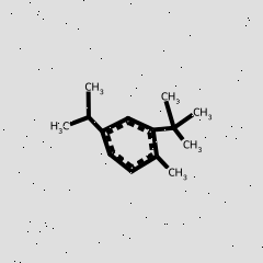 Cc1ccc(C(C)C)cc1C(C)(C)C